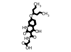 CCCC(CCC)Oc1ccc2c(O)c(C(=O)NCC(=O)O)c(=O)[nH]c2c1